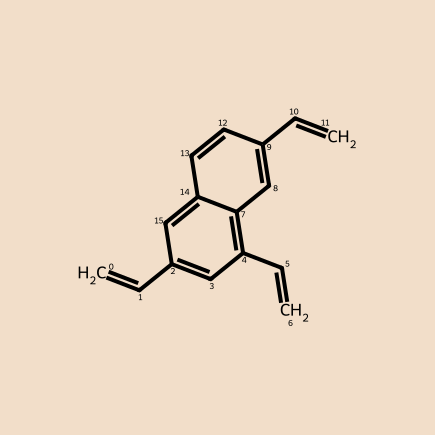 C=Cc1cc(C=C)c2cc(C=C)ccc2c1